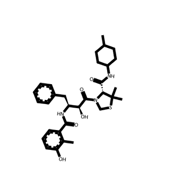 Cc1c(O)cccc1C(=O)N[C@@H](Cc1ccccc1)[C@H](O)C(=O)N1CSC(C)(C)[C@H]1C(=O)NC1CCC(C)CC1